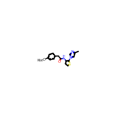 COc1ccc(CC(=O)Nc2ccsc2-n2cnc(C)c2)cc1